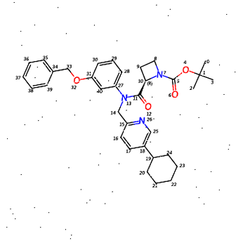 CC(C)(C)OC(=O)N1CC[C@@H]1C(=O)N(Cc1ccc(C2CCCCC2)cn1)c1cccc(OCc2ccccc2)c1